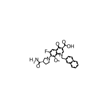 COc1c(N2CC[C@@H](C(N)=O)C2)c(F)cc2c(=O)c(C(=O)O)cn(Cc3ccc4ccccc4c3)c12